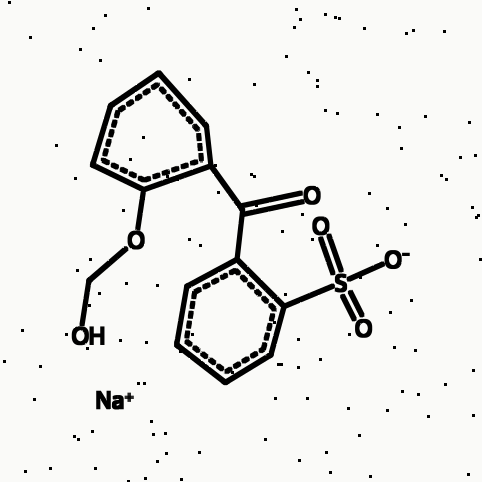 O=C(c1ccccc1OCO)c1ccccc1S(=O)(=O)[O-].[Na+]